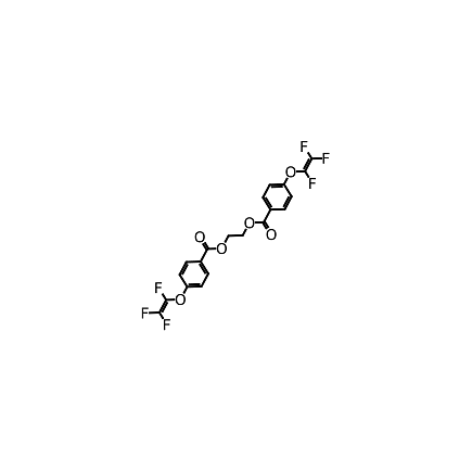 O=C(OCCOC(=O)c1ccc(OC(F)=C(F)F)cc1)c1ccc(OC(F)=C(F)F)cc1